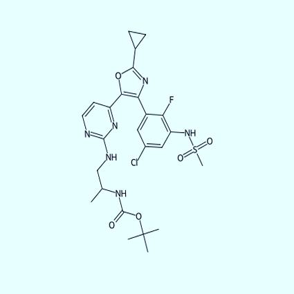 CC(CNc1nccc(-c2oc(C3CC3)nc2-c2cc(Cl)cc(NS(C)(=O)=O)c2F)n1)NC(=O)OC(C)(C)C